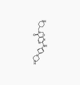 O=C1c2cnc(Nc3ccc(N4CCNCC4)cc3)nc2OCN1CC1CCNCC1